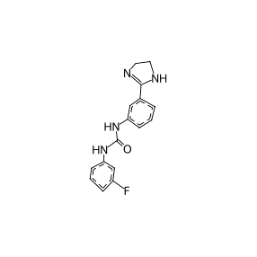 O=C(Nc1cccc(F)c1)Nc1cccc(C2=NCCN2)c1